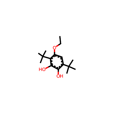 CCOc1cc(C(C)(C)C)c(O)c(O)c1C(C)(C)C